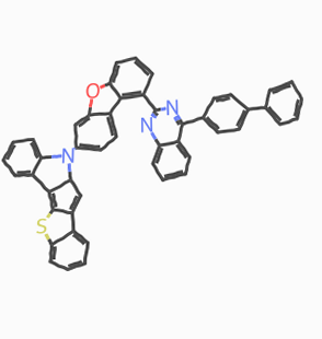 C1=c2c(sc3ccccc23)=C2c3ccccc3N(c3ccc4c(c3)oc3cccc(-c5nc(-c6ccc(-c7ccccc7)cc6)c6ccccc6n5)c34)C12